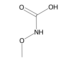 CONC(=O)O